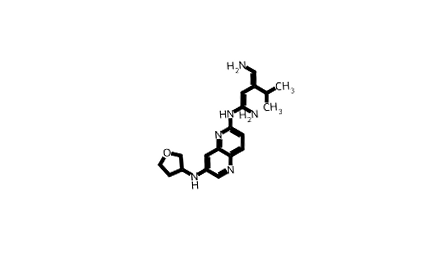 CC(C)C(=C/N)/C=C(\N)Nc1ccc2ncc(NC3CCOC3)cc2n1